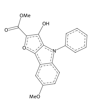 COC(=O)c1oc2c3cc(OC)ccc3n(-c3ccccc3)c2c1O